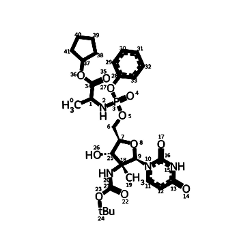 CC(NP(=O)(OC[C@H]1O[C@@H](n2ccc(=O)[nH]c2=O)[C@](C)(NC(=O)OC(C)(C)C)[C@@H]1O)Oc1ccccc1)C(=O)OC1CCCC1